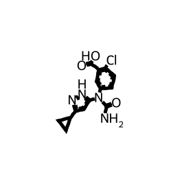 NC(=O)N(c1ccc(Cl)c(C(=O)O)c1)c1cc(C2CC2)n[nH]1